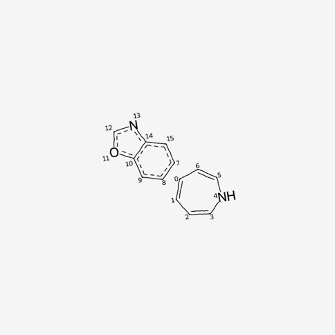 C1=CC=CNC=C1.c1ccc2ocnc2c1